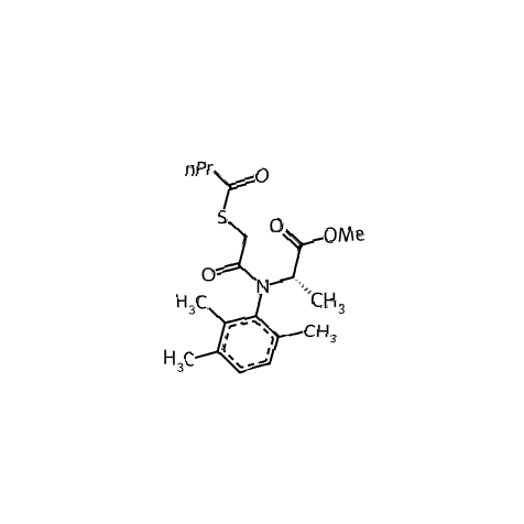 CCCC(=O)SCC(=O)N(c1c(C)ccc(C)c1C)[C@@H](C)C(=O)OC